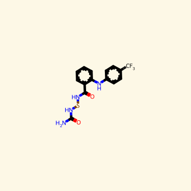 NC(=O)NSNC(=O)c1ccccc1Nc1ccc(C(F)(F)F)cc1